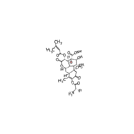 COC(=O)[C@@]12OC[C@]34C([C@@H](O)[C@@H]1O)[C@@]1(C)CC(=O)C(OC(=O)[C@@H](N)C(C)C)=C(C)[C@@H]1C[C@H]3OC(=O)[C@H](OC(=O)C=C(C)C)[C@@H]24